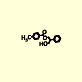 Cc1ccc(C(=O)OCC(CO)c2ccccc2)cc1